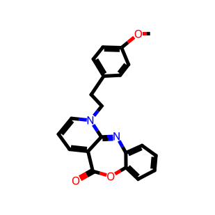 COc1ccc(CCN2C=CC=C3C(=O)Oc4ccccc4N=C32)cc1